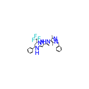 C=C(Nc1c(C)nn(Cc2ccccc2)c1C)c1cc2n(n1)C(C(F)(F)F)CC(c1ccccc1)N2